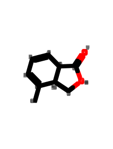 CC1=CC=CC2C(=O)OCC12